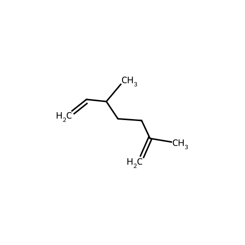 C=CC(C)CCC(=C)C